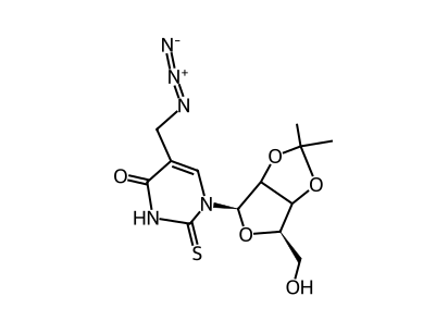 CC1(C)OC2C(O1)[C@@H](CO)O[C@H]2n1cc(CN=[N+]=[N-])c(=O)[nH]c1=S